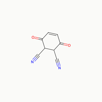 N#CC1C(=O)C=CC(=O)C1C#N